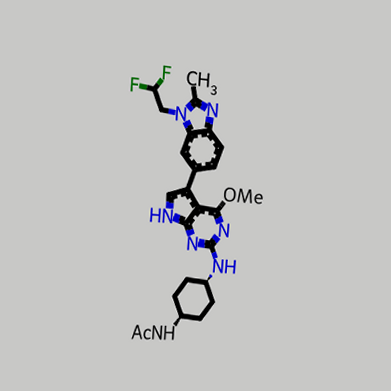 COc1nc(N[C@H]2CC[C@H](NC(C)=O)CC2)nc2[nH]cc(-c3ccc4nc(C)n(CC(F)F)c4c3)c12